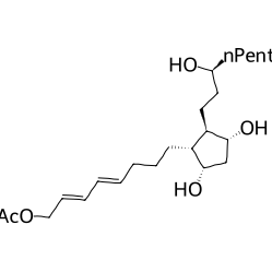 CCCCC[C@H](O)CC[C@@H]1[C@@H](CCC/C=C/C=C/COC(C)=O)[C@@H](O)C[C@H]1O